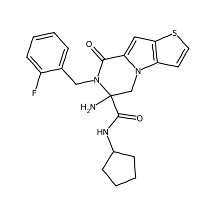 NC1(C(=O)NC2CCCC2)Cn2c(cc3sccc32)C(=O)N1Cc1ccccc1F